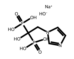 O=P(O)(O)C(O)(Cn1ccnc1)P(=O)(O)O.[Na+].[OH-]